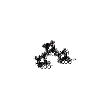 O=C([O-])c1cccc2c3nc4nc(nc5[nH]c(nc6nc(nc([nH]3)c12)-c1ccccc1-6)c1ccccc51)-c1ccccc1-4.O=C([O-])c1cccc2c3nc4nc(nc5[nH]c(nc6nc(nc([nH]3)c12)-c1ccccc1-6)c1ccccc51)-c1ccccc1-4.O=C([O-])c1cccc2c3nc4nc(nc5[nH]c(nc6nc(nc([nH]3)c12)-c1ccccc1-6)c1ccccc51)-c1ccccc1-4.[Cr+3]